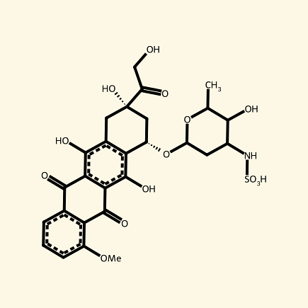 COc1cccc2c1C(=O)c1c(O)c3c(c(O)c1C2=O)C[C@@](O)(C(=O)CO)C[C@@H]3OC1CC(NS(=O)(=O)O)C(O)C(C)O1